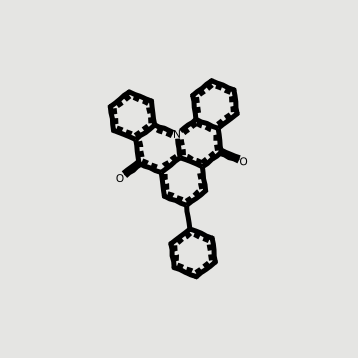 O=c1c2ccccc2n2c3ccccc3c(=O)c3cc(-c4ccccc4)cc1c32